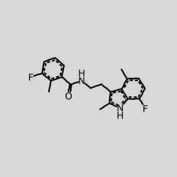 Cc1[nH]c2c(F)ccc(C)c2c1CCNC(=O)c1cccc(F)c1C